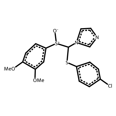 COc1ccc([S+]([O-])C(Sc2ccc(Cl)cc2)n2ccnc2)cc1OC